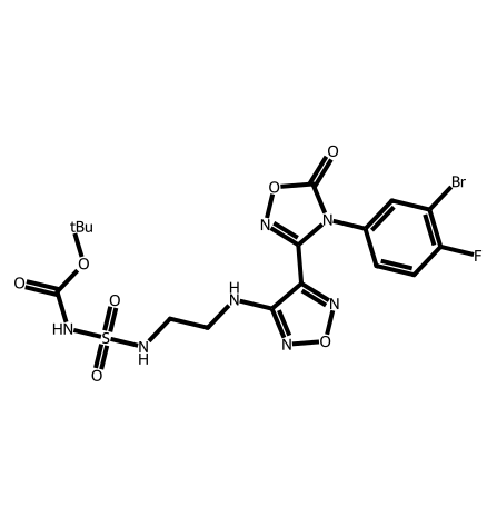 CC(C)(C)OC(=O)NS(=O)(=O)NCCNc1nonc1-c1noc(=O)n1-c1ccc(F)c(Br)c1